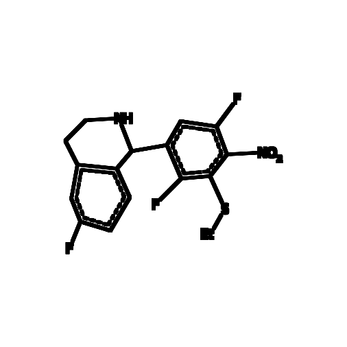 CCSc1c(F)c(C2NCCc3cc(F)ccc32)cc(F)c1[N+](=O)[O-]